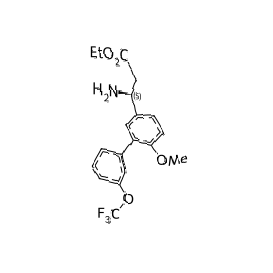 CCOC(=O)C[C@H](N)c1ccc(OC)c(-c2cccc(OC(F)(F)F)c2)c1